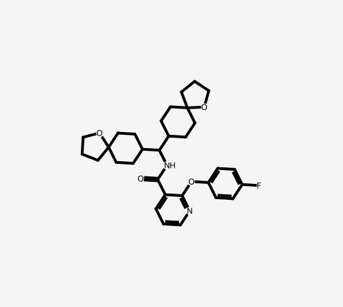 O=C(NC(C1CCC2(CCCO2)CC1)C1CCC2(CCCO2)CC1)c1cccnc1Oc1ccc(F)cc1